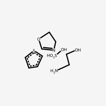 C1=NCCO1.NCCO.O=S(=O)(O)O.c1ccsc1